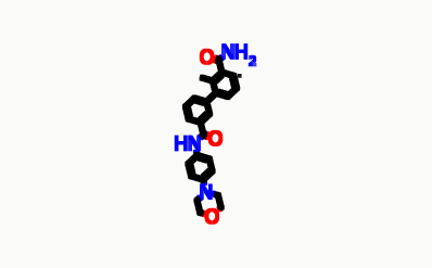 Cc1c(C(N)=O)[c]ccc1-c1cccc(C(=O)Nc2ccc(N3CCOCC3)cc2)c1